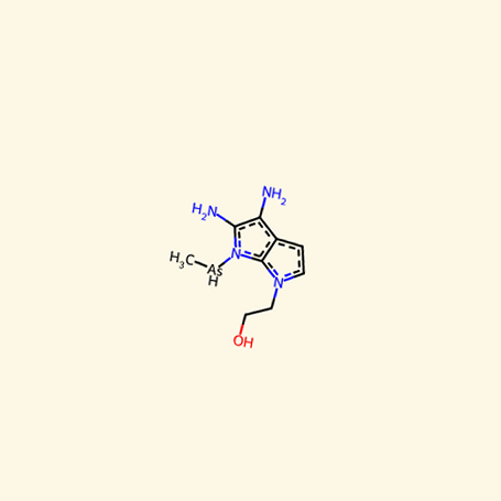 C[AsH]n1c(N)c(N)c2ccn(CCO)c21